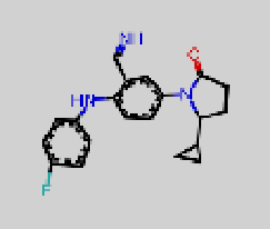 N=Cc1cc(N2C(=O)CCC2C2CC2)ccc1Nc1ccc(F)cc1